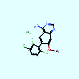 COc1cc2ncnc(N)c2cc1-c1c(F)ccc(Cl)c1F.Cl